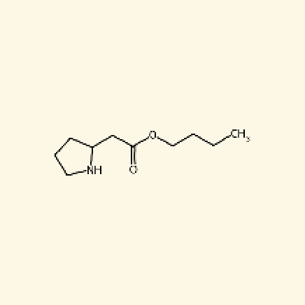 CCCCOC(=O)CC1CCCN1